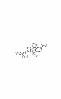 CC1(c2ccc(CC(N)(c3cccc(NCC(=O)O)n3)S(=O)(=O)c3cccnc3)cc2)CC1